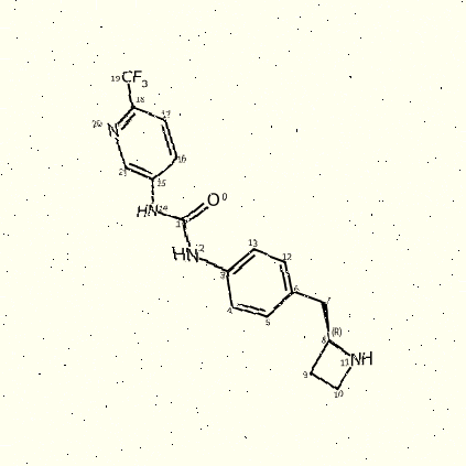 O=C(Nc1ccc(C[C@@H]2CCN2)cc1)Nc1ccc(C(F)(F)F)nc1